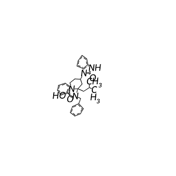 CC(C)CC1(N(Cc2ccccc2)Cc2ccccc2)CC(n2c(=O)[nH]c3ccccc32)CCN1C(=O)O